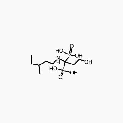 CCC(C)CCNC(CCO)(P(=O)(O)O)P(=O)(O)O